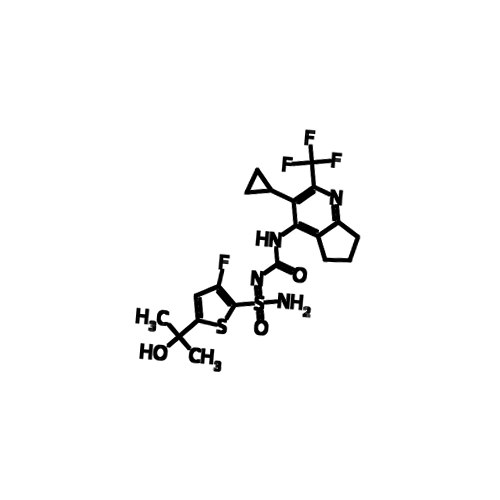 CC(C)(O)c1cc(F)c(S(N)(=O)=NC(=O)Nc2c3c(nc(C(F)(F)F)c2C2CC2)CCC3)s1